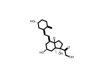 C=C1CC[C@@H](O)C/C1=C/C=C1\C[C@H](O)C[C@@]2(C)[C@H]1CC[C@@]2(O)C(=O)CO